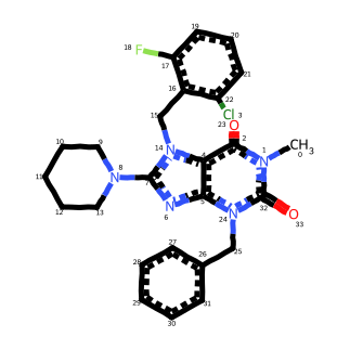 Cn1c(=O)c2c(nc(N3CCCCC3)n2Cc2c(F)cccc2Cl)n(Cc2ccccc2)c1=O